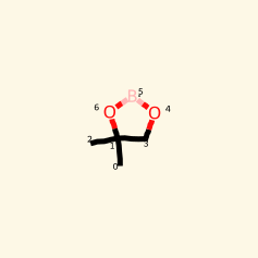 CC1(C)CO[B]O1